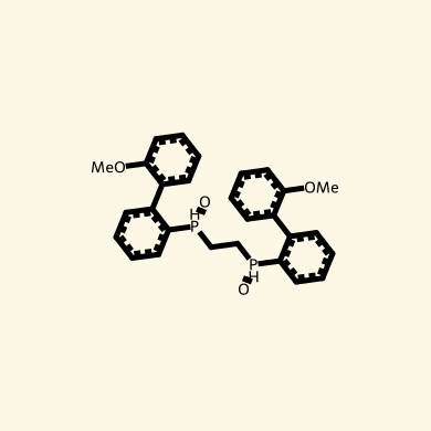 COc1ccccc1-c1ccccc1[PH](=O)CC[PH](=O)c1ccccc1-c1ccccc1OC